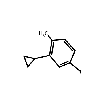 Cc1ccc(I)cc1C1CC1